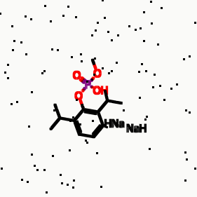 COP(=O)(O)Oc1c(C(C)C)cccc1C(C)C.[NaH].[NaH]